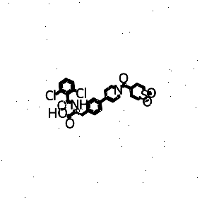 O=C(N[C@@H](Cc1ccc(C2=CCN(C(=O)C3CCS(=O)(=O)CC3)CC2)cc1)C(=O)O)c1c(Cl)cccc1Cl